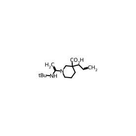 C=CCC1(C(=O)O)CCCN(C(=C)NC(C)(C)C)C1